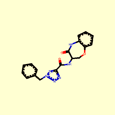 O=C(NC1COc2ccccc2NC1=O)c1nnn(Cc2ccccc2)n1